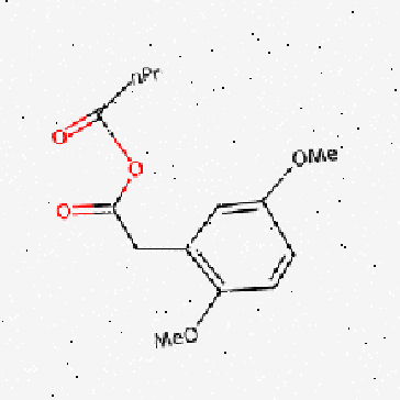 CC[CH]C(=O)OC(=O)Cc1cc(OC)ccc1OC